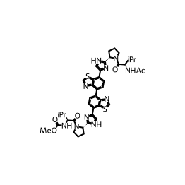 COC(=O)N[C@H](C(=O)N1CCC[C@H]1c1nc(-c2ccc(-c3ccc(-c4c[nH]c([C@@H]5CCCN5C(=O)[C@@H](NC(C)=O)C(C)C)n4)c4scnc34)c3ncsc23)c[nH]1)C(C)C